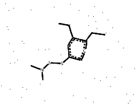 CCc1ccc(SSN(C)C)cc1CC